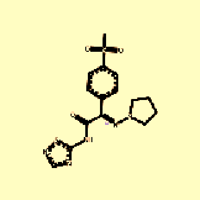 CS(=O)(=O)c1ccc(/C(=N\N2CCCC2)C(=O)Nc2ncns2)cc1